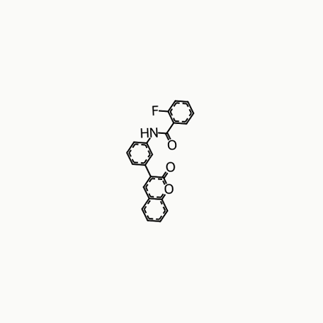 O=C(Nc1cccc(-c2cc3ccccc3oc2=O)c1)c1ccccc1F